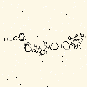 Cc1cccc([C@H]2CCC[C@@H](CNc3ncnc(C(=O)N4CCC(N5CCC(N(C)S(C)(=O)=O)CC5)CC4)c3C)O2)c1